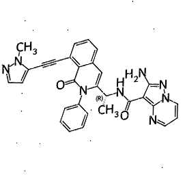 C[C@@H](NC(=O)c1c(N)nn2cccnc12)c1cc2cccc(C#Cc3ccnn3C)c2c(=O)n1-c1ccccc1